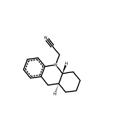 N#CCN1c2ccccc2C[C@@H]2CCCC[C@H]21